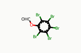 O=COc1c(Br)c(Br)c(Br)c(Br)c1Br